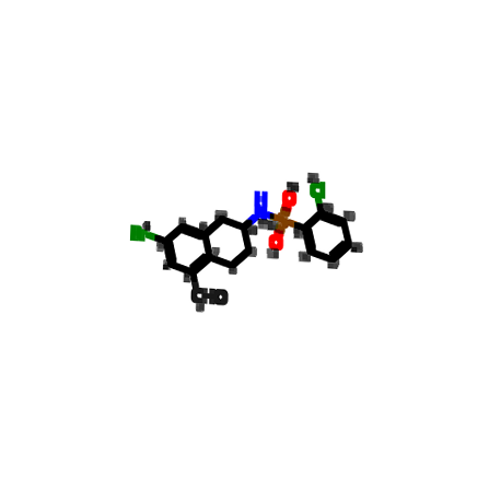 O=Cc1cc(Br)cc2c1CCC(NS(=O)(=O)c1ccccc1Cl)C2